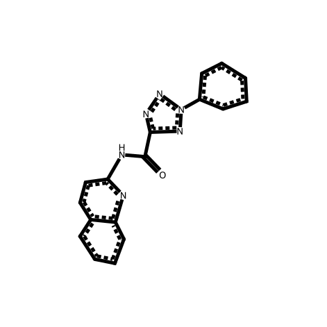 O=C(Nc1ccc2ccccc2n1)c1nnn(-c2ccccc2)n1